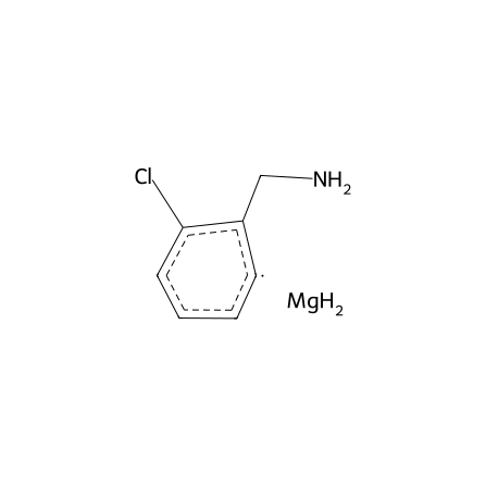 NCc1[c]cccc1Cl.[MgH2]